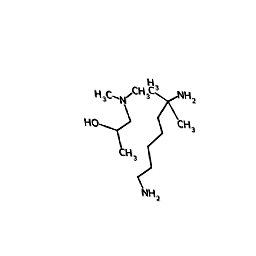 CC(C)(N)CCCCCN.CC(O)CN(C)C